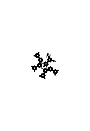 Cc1cc(C)cc(-c2ccc3c(c2)c2cc(-c4cc(C)cc(C)c4)ccc2n3-c2cc(-c3cc(C#N)cc(C(F)(F)F)c3)cc(-n3c4ccc(-c5cc(C)cc(C)c5)cc4c4cc(-c5cc(C)cc(C)c5)ccc43)c2C#N)c1